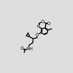 CC(=O)NCCC(COc1ccc(C)c2c(=O)ocnc12)C1CC1